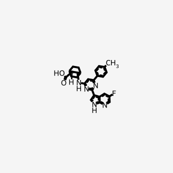 Cc1ccc(-c2cc(NC3C4CCC(CC4)[C@H]3C(=O)O)nc(-c3c[nH]c4ncc(F)cc34)n2)cc1